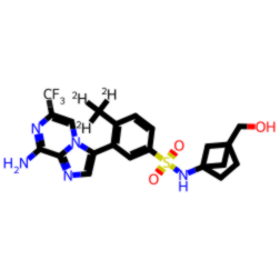 [2H]C([2H])([2H])c1ccc(S(=O)(=O)NC23CCC(CO)(C2)C3)cc1-c1cnc2c(N)nc(C(F)(F)F)cn12